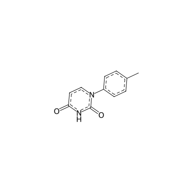 Cc1ccc(-n2ccc(=O)[nH]c2=O)cc1